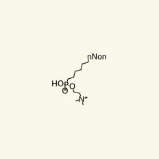 CCCCCCC[CH]CCCCCCCP(=O)(O)OCC[N+](C)(C)C